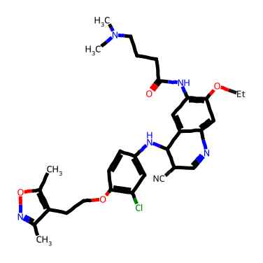 CCOc1cc2c(cc1NC(=O)CCCN(C)C)C(Nc1ccc(OCCc3c(C)noc3C)c(Cl)c1)C(C#N)C=N2